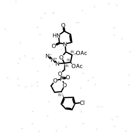 CC(=O)O[C@H]1C(n2ccc(=O)[nH]c2=O)O[C@@](CO[P@@]2(=O)OCC[C@@H](c3cccc(Cl)c3)O2)(N=[N+]=[N-])[C@H]1OC(C)=O